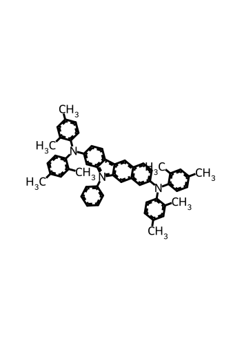 Cc1ccc(N(c2ccc3cc4c5ccc(N(c6ccc(C)cc6C)c6ccc(C)cc6C)cc5n(-c5ccccc5)c4cc3c2)c2ccc(C)cc2C)c(C)c1